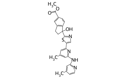 COC(=O)c1ccc2c(c1)CCC2(O)c1ncc(-c2cc(C)cc(Nc3cc(C)ccn3)n2)s1